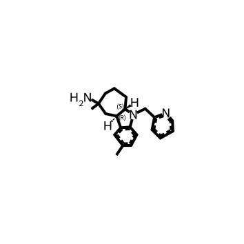 Cc1ccc2c(c1)[C@H]1CC(C)(N)CCC[C@@H]1N2Cc1ccccn1